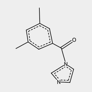 Cc1cc(C)cc(C(=O)n2ccnc2)c1